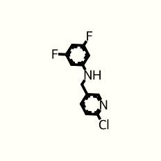 Fc1cc(F)cc(NCc2ccc(Cl)nc2)c1